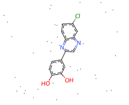 Oc1ccc(-c2cnc3cc(Cl)ccc3n2)cc1O